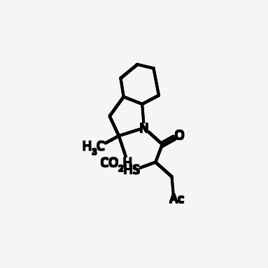 CC(=O)CC(S)C(=O)N1C2CCCCC2CC1(C)C(=O)O